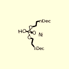 CCCCCCCCCCCCOP(=O)(O)OCCCCCCCCCCCC.[Ni]